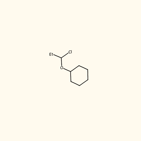 CCC(Cl)OC1CCCCC1